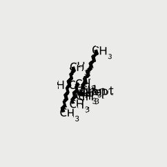 CCCCCC(C)C.CCCCCCCC.CCCCCCCCCC.CCCCCCCCCCCC.CCCCCCCCCCCCCC